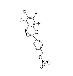 O=C(Oc1c(F)c(F)c(F)c(F)c1F)c1ccc(CO[N+](=O)[O-])cc1